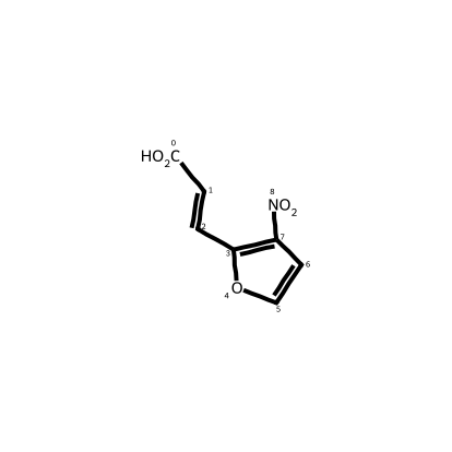 O=C(O)C=Cc1occc1[N+](=O)[O-]